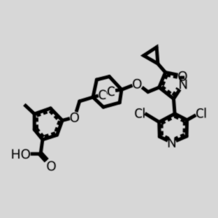 Cc1cc(OCC23CCC(OCc4c(-c5c(Cl)cncc5Cl)noc4C4CC4)(CC2)CC3)cc(C(=O)O)c1